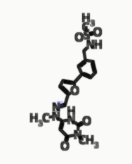 CN(/N=C/c1ccc(-c2cccc(CNS(C)(=O)=O)c2)o1)c1cc(=O)n(C)c(=O)[nH]1